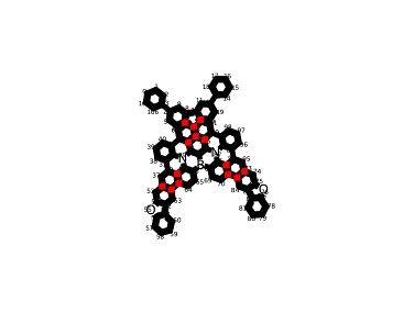 c1ccc(-c2ccc3c(c2)c2cc(-c4ccccc4)ccc2n3-c2cc3c4c(c2)N(c2c(-c5ccccc5)cccc2-c2ccccc2)c2cc(-c5ccc6oc7ccccc7c6c5)ccc2B4c2ccc(-c4ccc5oc6ccccc6c5c4)cc2N3c2c(-c3ccccc3)cccc2-c2ccccc2)cc1